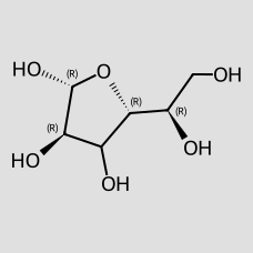 OC[C@@H](O)[C@H]1O[C@@H](O)[C@H](O)C1O